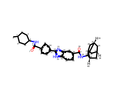 CC1CCC(NC(=O)c2ccc(-c3nc4cc(C(=O)NC5C6C[C@H]7C[C@@H](C6)C[C@@H]5C7)ccc4[nH]3)cc2)CC1